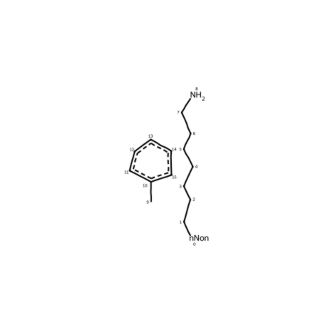 CCCCCCCCCCCCCCCCN.Cc1ccccc1